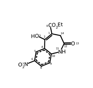 CCOC(=O)C1=C(O)c2cc([N+](=O)[O-])ccc2NC(=O)C1